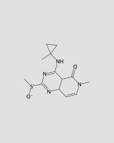 CN1C=CC2N=C([S+](C)[O-])N=C(NC3(C)CC3)C2C1=O